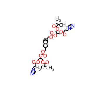 C=C(C)C(=O)OCC(COC(=O)CCn1ccnc1)OC(=O)OCC1CC2C3CC(COC(=O)OC(COC(=O)CCn4ccnc4)COC(=O)C(=C)C)C(C3)C2C1